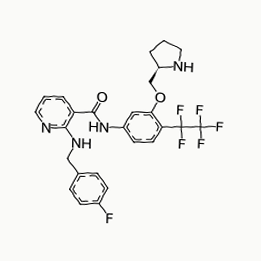 O=C(Nc1ccc(C(F)(F)C(F)(F)F)c(OC[C@H]2CCCN2)c1)c1cccnc1NCc1ccc(F)cc1